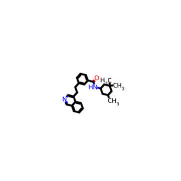 CC1CC(NC(=O)c2cccc(CCc3cncc4ccccc34)c2)CC(C)(C)C1